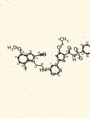 CCOc1cc(-c2cc(NCCn3c(C#N)cc4c(OC)ccc(F)c43)ncn2)sc1C(=O)NS(=O)(=O)c1ccccc1